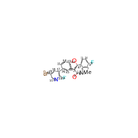 CNC(=O)c1c(-c2ccc(F)cc2)oc2ccc(-c3cc(Br)cnc3F)cc12